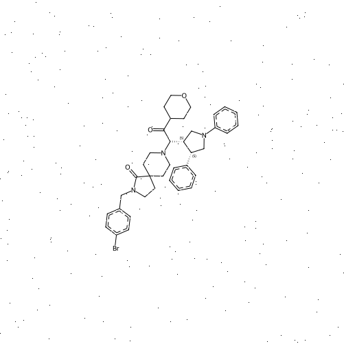 O=C(C1CCOCC1)C([C@@H]1CN(c2ccccc2)C[C@@H]1c1ccccc1)N1CCC2(CCN(Cc3ccc(Br)cc3)C2=O)CC1